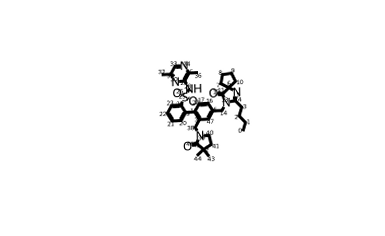 CCCCC1=NC2(CCCC2)C(=O)N1Cc1ccc(-c2ccccc2S(=O)(=O)Nc2nc(C)cnc2C)c(CN2CCC(C)(C)C2=O)c1